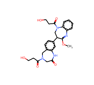 COC1=Nc2ccccc2N(C(=O)CCO)CC1c1ccc2c(c1)NC(=O)CN(C(=O)CCO)C2